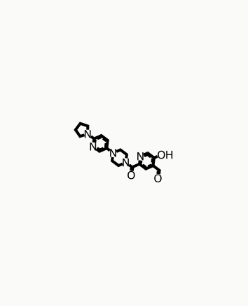 O=Cc1cc(C(=O)N2CCN(c3ccc(N4CCCC4)nc3)CC2)ncc1O